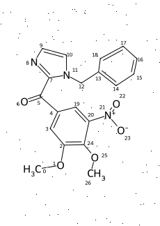 COc1cc(C(=O)c2nccn2Cc2ccccc2)cc([N+](=O)[O-])c1OC